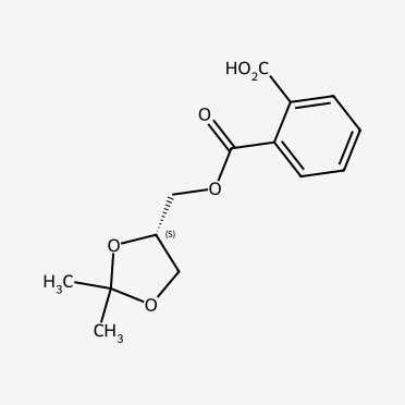 CC1(C)OC[C@@H](COC(=O)c2ccccc2C(=O)O)O1